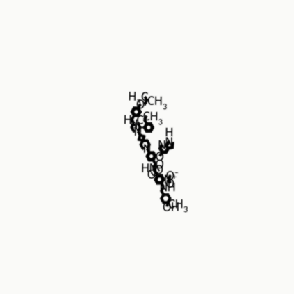 CC(C)COc1ccc(CN2CCN(C3CC4(CCN(c5ccc(C(=O)NS(=O)(=O)c6ccc(NCC7CCC(C)(O)CC7)c([N+](=O)[O-])c6)c(Oc6cnc7[nH]ccc7c6)c5)CC4)C3)[C@H](c3ccccc3C(C)C)C2)cc1